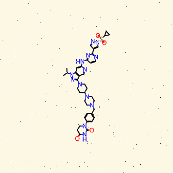 CC(C)n1nc(N2CCC(N3CCN(Cc4ccc(N5CCC(=O)NC5=O)cc4)CC3)CC2)c2cnc(Nc3ccnc(-c4cnn(S(=O)(=O)C5CC5)c4)n3)cc21